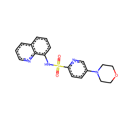 O=S(=O)(Nc1cccc2cccnc12)c1ccc(N2CCOCC2)cn1